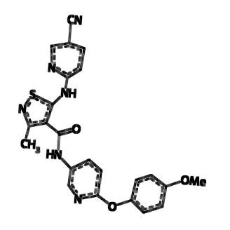 COc1ccc(Oc2ccc(NC(=O)c3c(C)nsc3Nc3ccc(C#N)cn3)cn2)cc1